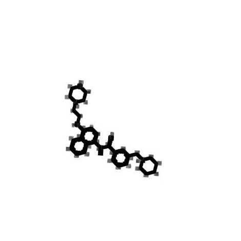 O=C(Nc1ccc(OCCN2CCOCC2)c2ccccc12)c1cccc(CN2CCCCC2)c1